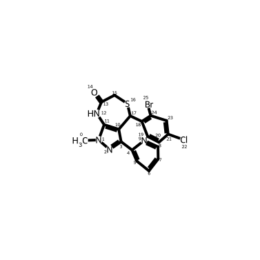 Cn1nc(-c2ccccn2)c2c1NC(=O)CSC2c1ccc(Cl)cc1Br